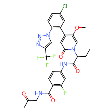 CC[C@@H](C(=O)Nc1ccc(C(=O)NCC(C)=O)c(F)c1)n1cc(OC)c(-c2cc(Cl)ccc2-n2cc(C(F)(F)F)nn2)cc1=O